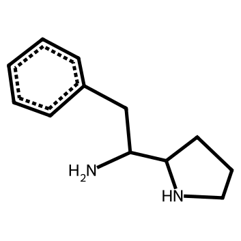 NC(Cc1ccccc1)C1CCCN1